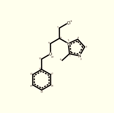 Cc1nccn1C(CCl)COCc1ccccc1